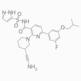 CC(C)COc1cc(F)cc(-c2ccc(C(=O)NS(=O)(=O)c3ccn[nH]3)c(N3CCCC(C#CN)C3)n2)c1